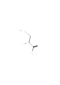 CNC[C@H](O)C(N)=O